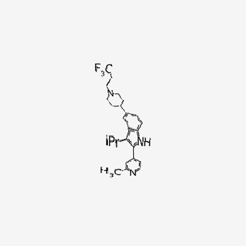 Cc1cc(-c2[nH]c3ccc(C4CCN(CCC(F)(F)F)CC4)cc3c2C(C)C)ccn1